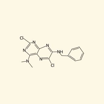 CN(C)c1nc(Cl)nc2nc(NCc3ccccc3)c(Cl)nc12